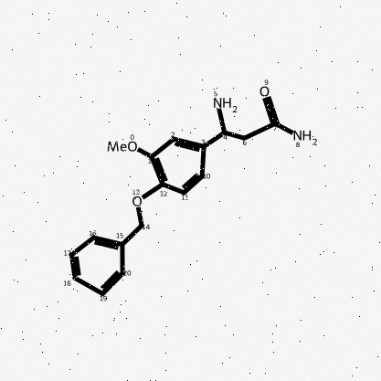 COc1cc(C(N)CC(N)=O)ccc1OCc1ccccc1